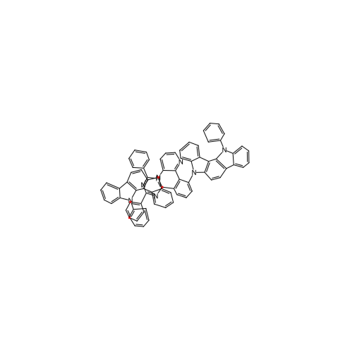 c1ccc(-c2nc(-c3ccccc3)nc(-c3cccc(-n4c5ccccc5c5c4ccc4c6ccccc6n(-c6ccccc6)c45)c3-c3ncccc3-n3c4ccccc4c4c3ccc3c5ccccc5n(-c5ccccc5)c34)n2)cc1